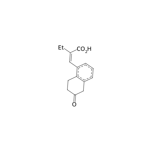 CCC(=Cc1cccc2c1CCC(=O)C2)C(=O)O